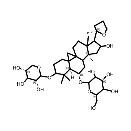 CC1(C)C(OC2OC[C@@H](O)C(O)[C@H]2O)CCC23CC24CCC2(C)C([C@@]5(C)CCCO5)C(O)C[C@@]2(C)C4C[C@H](OC2O[C@H](CO)C(O)[C@H](O)C2O)[C@@H]13